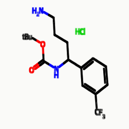 CC(C)(C)OC(=O)NC(CCCN)c1cccc(C(F)(F)F)c1.Cl